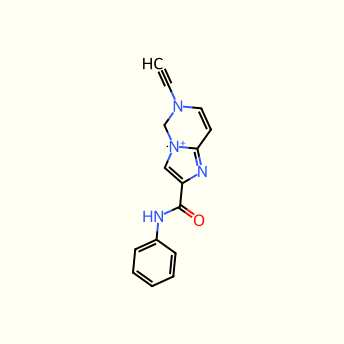 C#CN1C=CC2=NC(C(=O)Nc3ccccc3)=C[N+]2C1